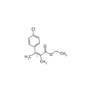 CCOC(=O)/C(C)=C(/C)c1ccc(Cl)cc1